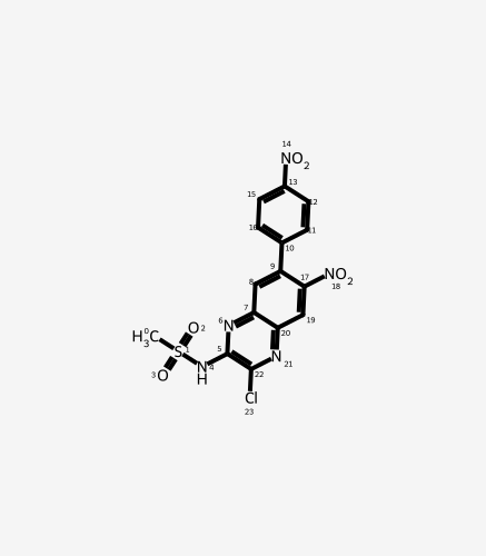 CS(=O)(=O)Nc1nc2cc(-c3ccc([N+](=O)[O-])cc3)c([N+](=O)[O-])cc2nc1Cl